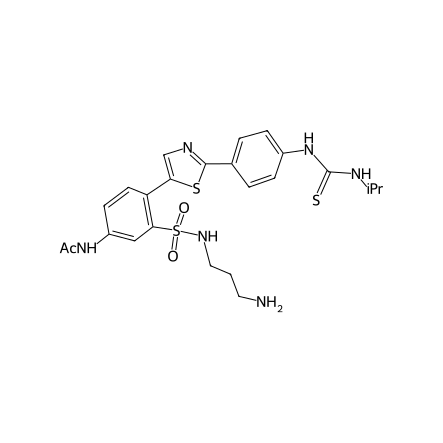 CC(=O)Nc1ccc(-c2cnc(-c3ccc(NC(=S)NC(C)C)cc3)s2)c(S(=O)(=O)NCCCN)c1